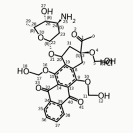 CC(=O)[C@]1(OCO)Cc2c(OCO)c3c(c(OCO)c2C(O[C@H]2C[C@H](N)[C@@H](O)[C@@H](C)O2)C1)C(=O)c1ccccc1C3=O.Cl